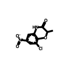 CC1Oc2c(Cl)cc([N+](=O)[O-])cc2NC1=O